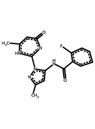 Cc1cc(NC(=O)c2ccccc2F)n(-c2nc(=O)cc(C)[nH]2)n1